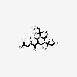 CCC(C)(C)N1CC(C(=O)NCC(=O)O)=C(O)N(C(C)(C)CC)C1=O